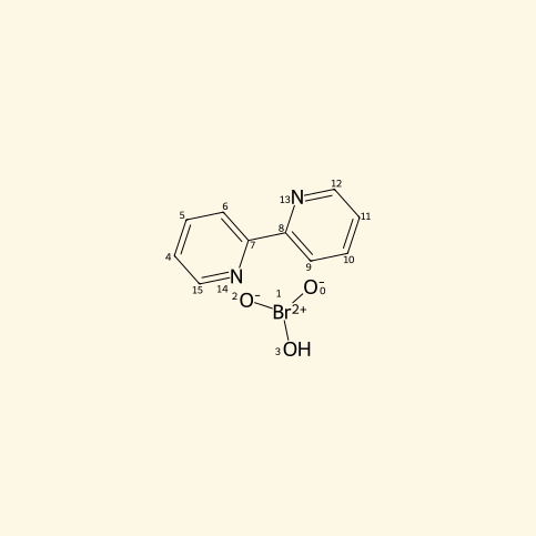 [O-][Br+2]([O-])O.c1ccc(-c2ccccn2)nc1